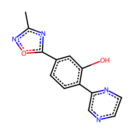 Cc1noc(-c2ccc(-c3cnccn3)c(O)c2)n1